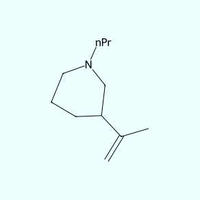 C=C(C)C1CCCN(CCC)C1